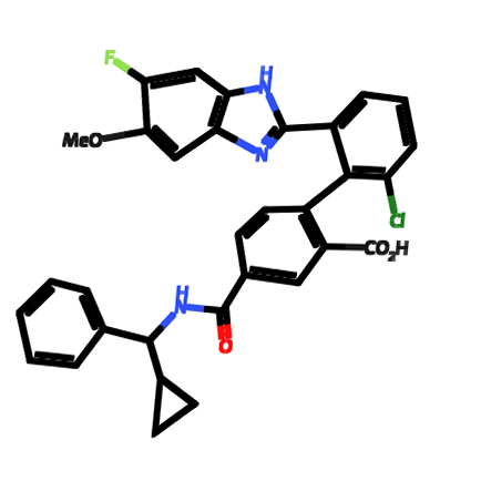 COc1cc2nc(-c3cccc(Cl)c3-c3ccc(C(=O)NC(c4ccccc4)C4CC4)cc3C(=O)O)[nH]c2cc1F